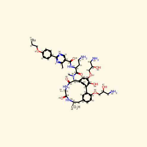 Cc1nc(-c2ccc(OCCC(C)(C)C)cc2)ncc1C(=O)NC(CCN)C(=O)N(C)[C@@H]1C(=O)N[C@@H](C)C(=O)N[C@H](C(=O)O)Cc2ccc(OCC(O)CN)c(c2)-c2cc1cc(OCC(O)CN)c2O